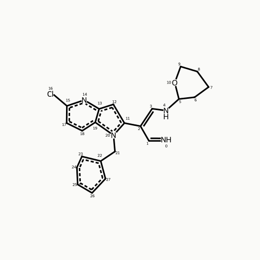 N=C/C(=C\NC1CCCCO1)c1cc2nc(Cl)ccc2n1Cc1ccccc1